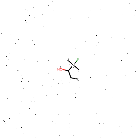 CCC(O)[Si](C)(C)F